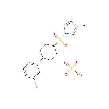 C[n+]1ccn(S(=O)(=O)N2CCC(c3cccc(Cl)c3)CC2)c1.O=S(=O)([O-])C(F)(F)F